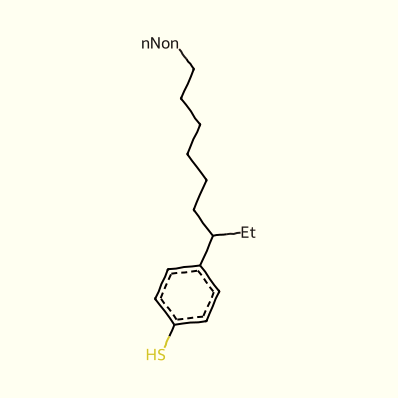 CCCCCCCCCCCCCCCC(CC)c1ccc(S)cc1